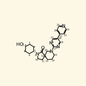 O=C1N([C@H]2CC[C@@H](O)CC2)CC[C@@]12CCCN(c1ncc(-c3ccncc3)cn1)C2